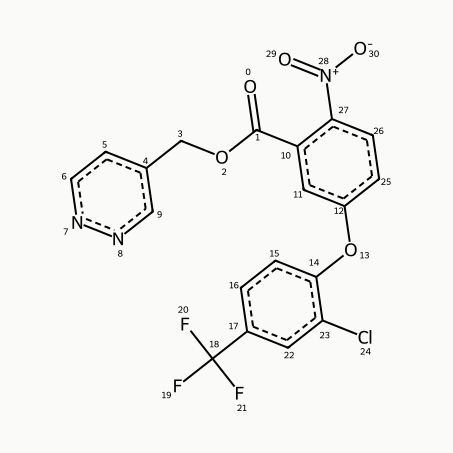 O=C(OCc1ccnnc1)c1cc(Oc2ccc(C(F)(F)F)cc2Cl)ccc1[N+](=O)[O-]